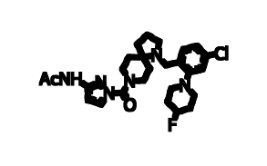 CC(=O)Nc1ccn(C(=O)N2CCC3(CCCN3Cc3ccc(Cl)cc3N3CCC(F)CC3)CC2)n1